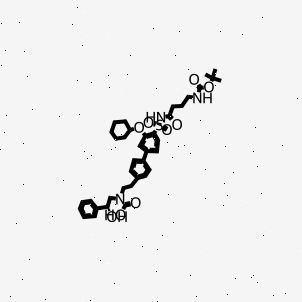 CC(C)(C)OC(=O)NCCCC(=O)NS(=O)(=O)c1ccc(-c2ccc(CCN(C[C@@H](O)c3ccccc3)C(=O)O)cc2)cc1OC1CCCCC1